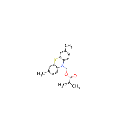 C=C(C)C(=O)OCN1c2ccc(C)cc2Sc2cc(C)ccc21